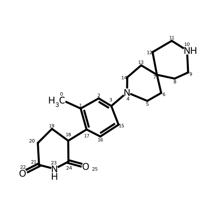 Cc1cc(N2CCC3(CCNCC3)CC2)ccc1C1CCC(=O)NC1=O